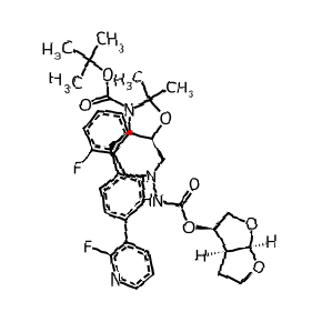 CC(C)(C)OC(=O)N1[C@H](Cc2ccc(-c3cccnc3F)cc2)[C@H](CN(Cc2ccccc2F)NC(=O)O[C@H]2CO[C@H]3OCC[C@H]32)OC1(C)C